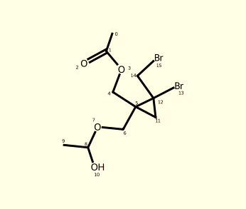 CC(=O)OCC1(COC(C)O)CC1(Br)CBr